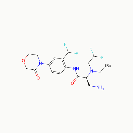 CC(C)(C)CN(CC(F)F)[C@@H](CN)C(=O)Nc1ccc(N2CCOCC2=O)cc1C(F)F